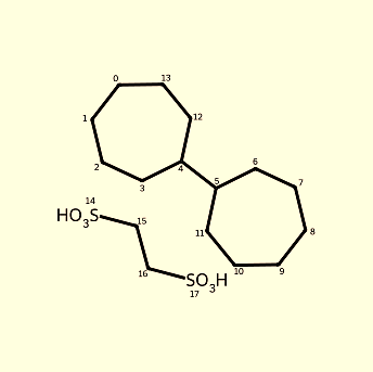 C1CCCC(C2CCCCCC2)CC1.O=S(=O)(O)CCS(=O)(=O)O